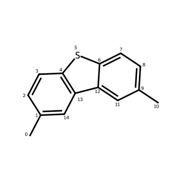 Cc1ccc2sc3ccc(C)cc3c2c1